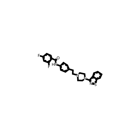 O=C(Nc1ccc(CCN2CCN(c3nsc4ccccc34)CC2)cc1)c1ccc(F)cc1F